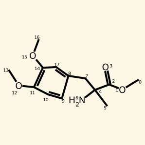 COC(=O)C(C)(N)Cc1ccc(OC)c(OC)c1